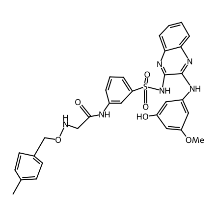 COc1cc(O)cc(Nc2nc3ccccc3nc2NS(=O)(=O)c2cccc(NC(=O)CNOCc3ccc(C)cc3)c2)c1